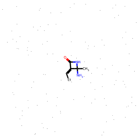 CC/C=C1/C(=O)NC1(C)N